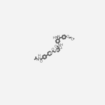 COCCOc1ccc(-c2n[nH]c3ccc(NC(=O)[C@]4(OC)CCN(CC(=O)N5CCC(c6ccc(C(=O)NN=C(C)C)cc6)CC5)C4)cc23)cc1